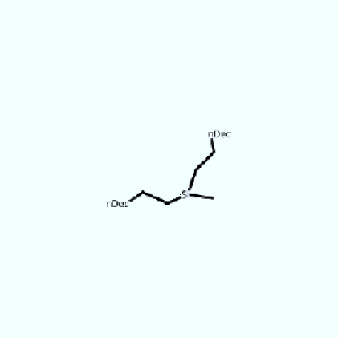 CCCCCCCCCCCC[Si](C)CCCCCCCCCCCC